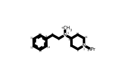 CC(C)N1CCC(N(C)CCc2ccccc2)CC1